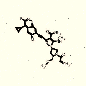 C=CC(=O)N1C[C@@H](n2nc(C#Cc3cc4nnc(F)c(C5CC5)c4cc3Cl)c(C(N)=O)c2NC)C[C@@H]1COC